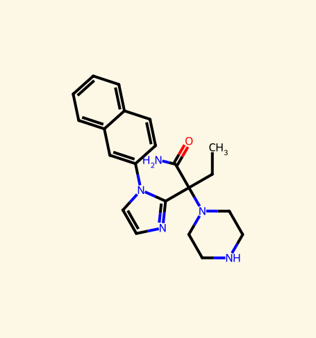 CCC(C(N)=O)(c1nccn1-c1ccc2ccccc2c1)N1CCNCC1